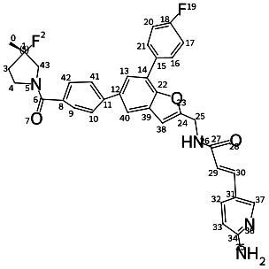 C[C@]1(F)CCN(C(=O)c2ccc(-c3cc(-c4ccc(F)cc4)c4oc(CNC(=O)C=Cc5ccc(N)nc5)cc4c3)cc2)C1